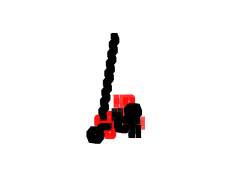 CCCCCCCC/C=C/CCCCCCCC(=O)O[C@H](C(=O)OC1=CC[C@@]2(O)[C@H]3Cc4ccc(O)c5c4[C@@]2(CCN3C)[C@H]1O5)c1ccccc1